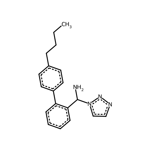 CCCCc1ccc(-c2ccccc2C(N)n2ccnn2)cc1